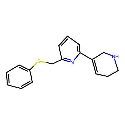 C1=C(c2cccc(CSc3ccccc3)n2)CNCC1